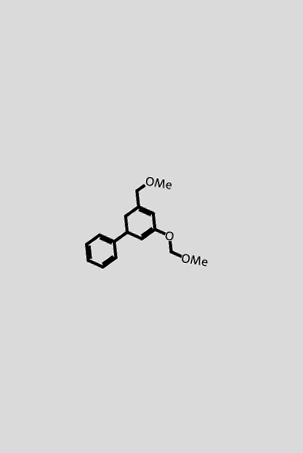 COCOC1=CC(c2ccccc2)CC(COC)=C1